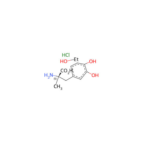 CCO.C[C@](N)(Cc1ccc(O)c(O)c1)C(=O)O.Cl